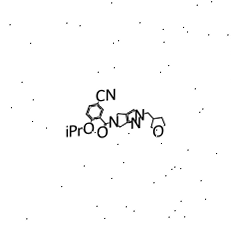 CC(C)Oc1ccc(C#N)cc1C(=O)N1Cc2cn(CC3CCOC3)nc2C1